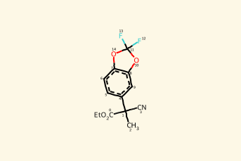 CCOC(=O)C(C)(C#N)c1ccc2c(c1)OC(F)(F)O2